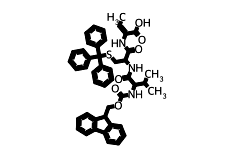 CC=C(NC(=O)C(CSC(c1ccccc1)(c1ccccc1)c1ccccc1)NC(=O)C(NC(=O)OCC1c2ccccc2-c2ccccc21)C(C)C)C(=O)O